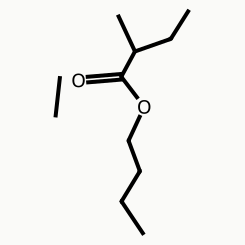 CC.CCCCOC(=O)C(C)CC